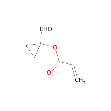 C=CC(=O)OC1(C=O)CC1